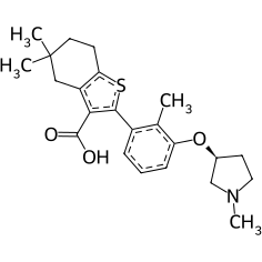 Cc1c(O[C@H]2CCN(C)C2)cccc1-c1sc2c(c1C(=O)O)CC(C)(C)CC2